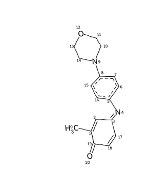 CC1=C/C(=N\c2ccc(N3CCOCC3)cc2)C=CC1=O